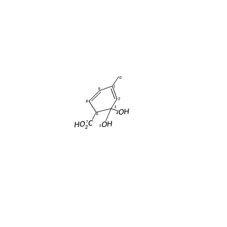 CC1=CC(O)(O)C(C(=O)O)C=C1